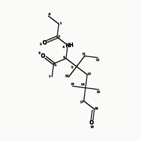 CCC(=O)NC(C(C)=O)C(C)(CC)CC(C)(C)CC=O